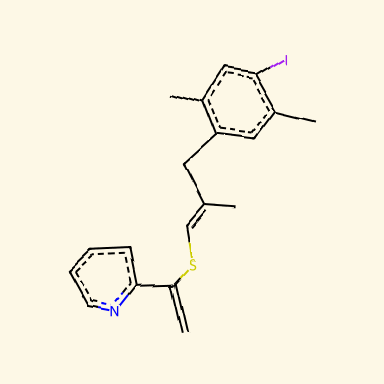 C=C(S/C=C(\C)Cc1cc(C)c(I)cc1C)c1ccccn1